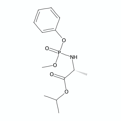 COP(=O)(N[C@H](C)C(=O)OC(C)C)Oc1ccccc1